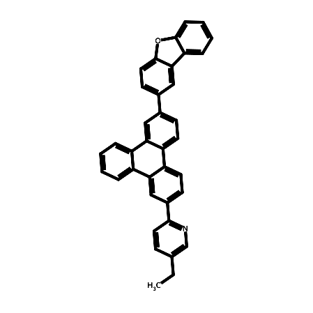 CCc1ccc(-c2ccc3c4ccc(-c5ccc6oc7ccccc7c6c5)cc4c4ccccc4c3c2)nc1